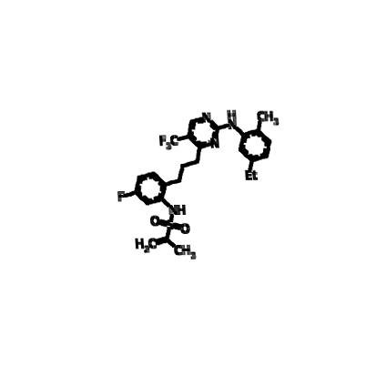 C=C(C)S(=O)(=O)Nc1cc(F)ccc1CCCc1nc(Nc2cc(CC)ccc2C)ncc1C(F)(F)F